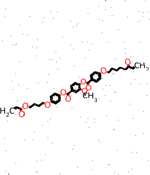 C=CC(=O)CCCCCOc1ccc(C(=O)Oc2ccc(C(=O)Oc3ccc(OCCCCOC(=O)C=C)cc3)cc2OC)cc1